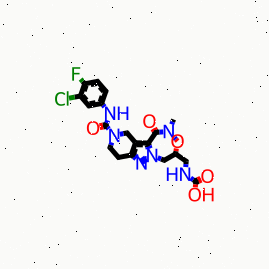 CN1OC(CNC(=O)O)Cn2nc3c(c2C1=O)CN(C(=O)Nc1ccc(F)c(Cl)c1)CC3